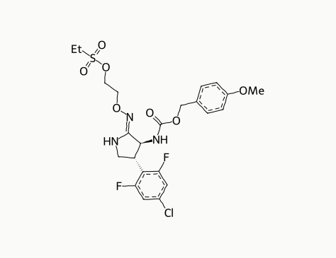 CCS(=O)(=O)OCCO/N=C1\NC[C@@H](c2c(F)cc(Cl)cc2F)[C@@H]1NC(=O)OCc1ccc(OC)cc1